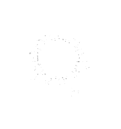 C/C=C/C[C@@H](C)[C@@H](O)[C@H]1C(=O)N[C@@H](CC)C(=O)N(C)[C@H](SCCCN(CC)CC)C(=O)N(C)[C@@H](CC(C)(C)OC)C(=O)N[C@@H](C(C)C)C(=O)N(C)[C@@H](CC(C)C)C(=O)N[C@@H](C)C(=O)N[C@H](C)C(=O)N(C)[C@@H](CC(C)C)C(=O)N(C)[C@@H](CC(C)C)C(=O)N(C)[C@@H](C(C)C)C(=O)N1C